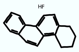 F.c1ccc2c(c1)ccc1c3c(ccc12)CCCC3